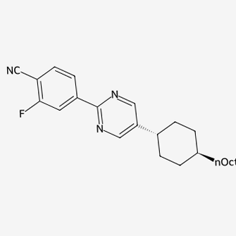 CCCCCCCC[C@H]1CC[C@H](c2cnc(-c3ccc(C#N)c(F)c3)nc2)CC1